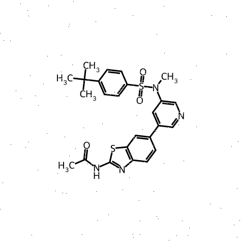 CC(=O)Nc1nc2ccc(-c3cncc(N(C)S(=O)(=O)c4ccc(C(C)(C)C)cc4)c3)cc2s1